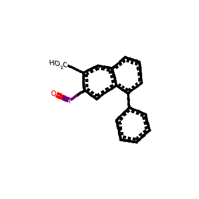 O=Ic1cc2c(-c3ccccc3)cccc2cc1C(=O)O